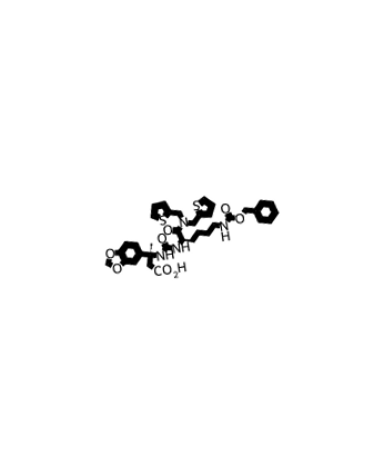 C[C@@](CC(=O)O)(NC(=O)N[C@H](CCCCNC(=O)OCc1ccccc1)C(=O)N(Cc1cccs1)Cc1cccs1)c1ccc2c(c1)OCO2